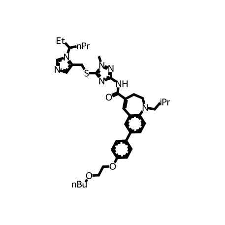 CCCCOCCOc1ccc(-c2ccc3c(c2)C=C(C(=O)Nc2nc(SCc4cncn4C(CC)CCC)n(C)n2)CCN3CC(C)C)cc1